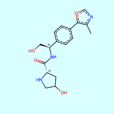 Cc1ncoc1-c1ccc([C@H](CO)NC(=O)[C@@H]2CC(O)CN2)cc1